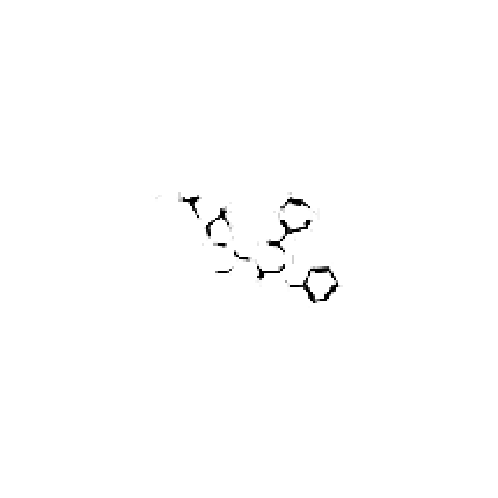 CNC(=O)C[C@H]1OB([C@H](CC(C)C)NC(=O)[C@H](Cc2ccccc2)NC(=O)c2cnccn2)OC1=O